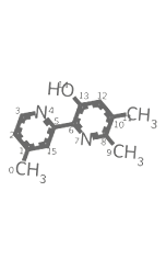 Cc1ccnc(-c2nc(C)c(C)cc2O)c1